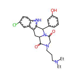 CCN(CC)CCCN1CC(=O)N2C(Cc3c([nH]c4ccc(Cl)cc34)C2c2cccc(O)c2)C1=O